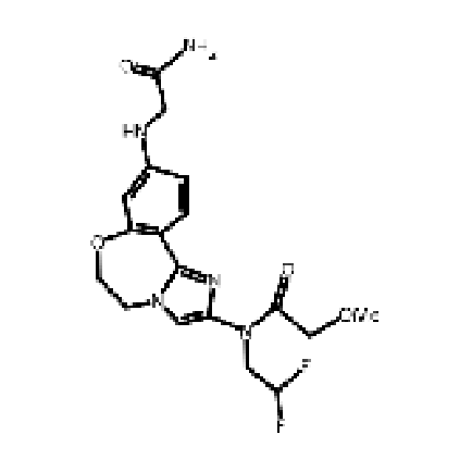 COCC(=O)N(CC(F)F)c1cn2c(n1)-c1ccc(NCC(N)=O)cc1OCC2